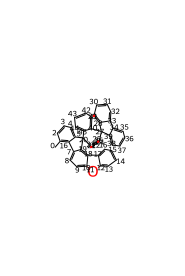 Cc1cccc2c1-c1ccc3oc4ccccc4c3c1C21c2ccccc2C2(c3ccccc3-c3ccccc32)c2ccccc21